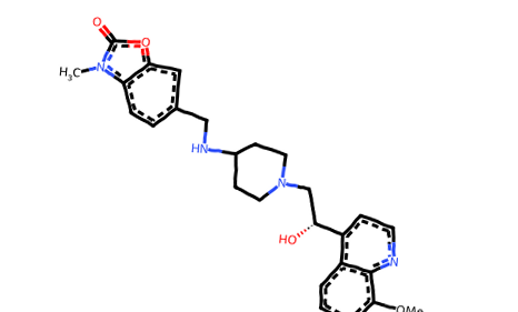 COc1cccc2c([C@H](O)CN3CCC(NCc4ccc5c(c4)oc(=O)n5C)CC3)ccnc12